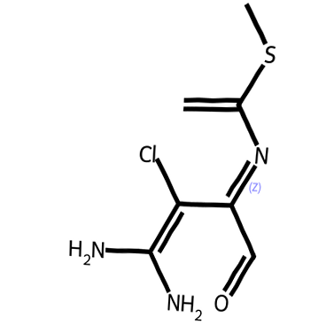 C=C(/N=C(/C=O)C(Cl)=C(N)N)SC